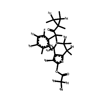 [2H]c1c([2H])c(F)c(C(C)(C(=O)C2(C)C([2H])(C)C2([2H])C)N2C([2H])([2H])c3c(sc(OC(=O)C([2H])([2H])[2H])c3[2H])C([2H])(C)C2([2H])C)c(C)c1C